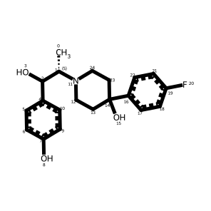 C[C@@H](C(O)c1ccc(O)cc1)N1CCC(O)(c2ccc(F)cc2)CC1